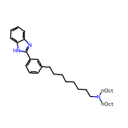 CCCCCCCCN(CCCCCCCC)CCCCCCCCc1cccc(-c2nc3ccccc3[nH]2)c1